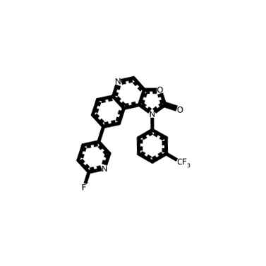 O=c1oc2cnc3ccc(-c4ccc(F)nc4)cc3c2n1-c1cccc(C(F)(F)F)c1